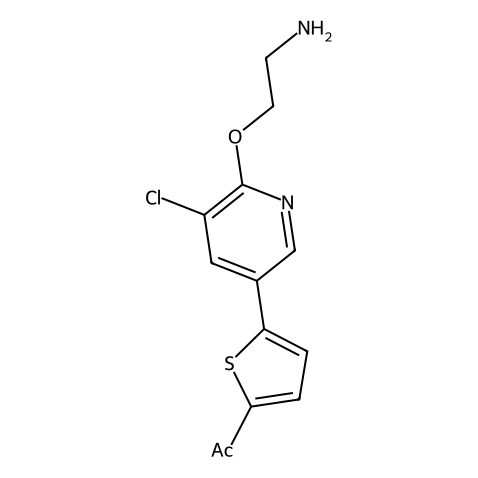 CC(=O)c1ccc(-c2cnc(OCCN)c(Cl)c2)s1